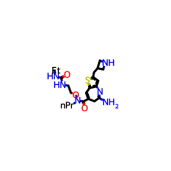 CCCN(OCCNC(=O)NCC)C(=O)C1=Cc2sc(CC3CNC3)cc2N=C(N)C1